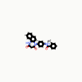 CC(C)c1ccccc1C(=O)Nc1ccc(N2C(=O)CC(=O)Nc3c2ccc2ccccc32)cc1